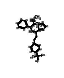 C=C(NC)C(NC(CCc1ccc(C(F)(F)F)cc1)C1=NC=CC1)c1ccccc1